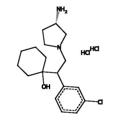 Cl.Cl.N[C@H]1CCN(CC(c2cccc(Cl)c2)C2(O)CCCCC2)C1